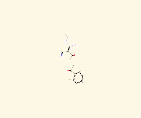 CCN/C(N)=C(\C(C)=N)C(=O)OCC(=O)c1c(F)cc(F)cc1F